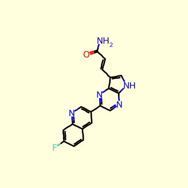 NC(=O)C=Cc1c[nH]c2ncc(-c3cnc4cc(F)ccc4c3)nc12